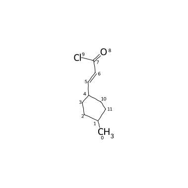 CC1CCC(C=CC(=O)Cl)CC1